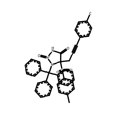 Cc1ccc(S(=O)(=O)C2(CC#Cc3ccc(Cl)cc3)C(=O)N[N+](=O)N2C(c2ccccc2)(c2ccccc2)c2ccccc2)cc1